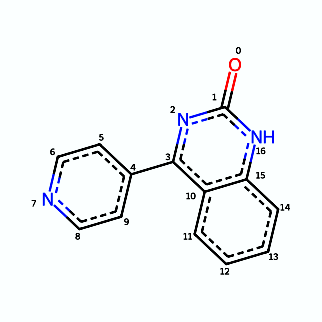 O=c1nc(-c2ccncc2)c2ccccc2[nH]1